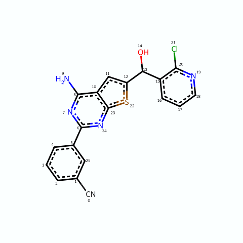 N#Cc1cccc(-c2nc(N)c3cc(C(O)c4cccnc4Cl)sc3n2)c1